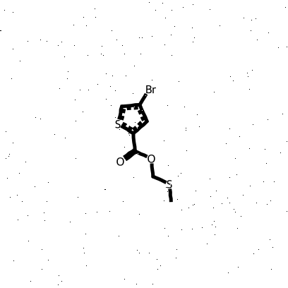 CSCOC(=O)c1cc(Br)cs1